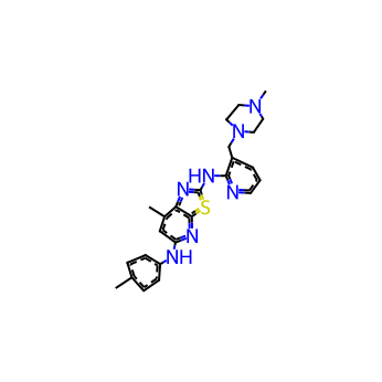 Cc1ccc(Nc2cc(C)c3nc(Nc4ncccc4CN4CCN(C)CC4)sc3n2)cc1